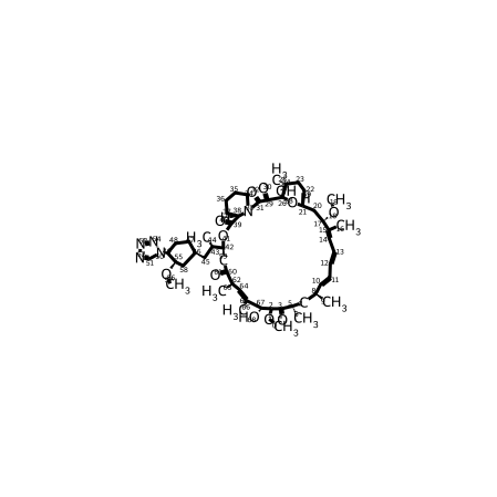 COC1C(=O)[C@@H](C)C[C@H](C)/C=C/C=C/C=C(\C)[C@@H](OC)C[C@@H]2CC[C@@H](C)C(O)(O2)C(=O)C(=O)N2CCCC[C@H]2C(=O)O[C@H]([C@H](C)C[C@@H]2CC[C@H](n3cnnn3)[C@H](OC)C2)CC(=O)[C@H](C)/C=C(\C)[C@H]1O